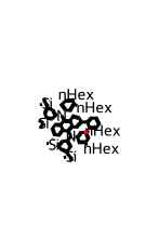 CCCCCCc1cc(CCCCCC)cc(N(c2cc([Si](C)(C)C)cc([Si](C)(C)C)c2)c2c3ccccc3c(N(c3cc(CCCCCC)cc(CCCCCC)c3)c3cc([Si](C)(C)C)cc([Si](C)(C)C)c3)c3cc(-c4ccccc4)ccc23)c1